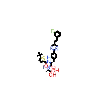 C[C@@H](NC(=O)[C@H](Cc1ccc(-c2ncc(/C=C/c3cccc(F)c3)cn2)cc1)NC(=O)c1ccc(C(C)(C)C)s1)C(O)O